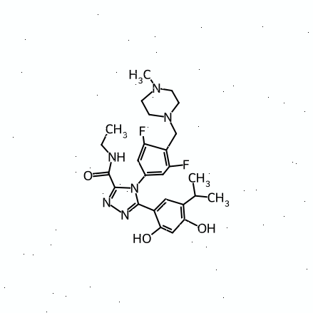 CCNC(=O)c1nnc(-c2cc(C(C)C)c(O)cc2O)n1-c1cc(F)c(CN2CCN(C)CC2)c(F)c1